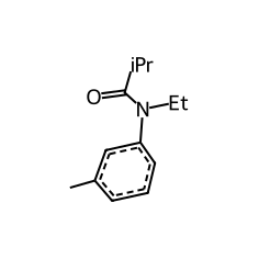 CCN(C(=O)C(C)C)c1cccc(C)c1